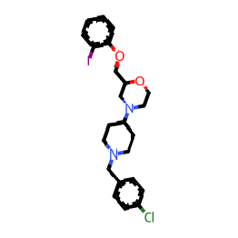 Clc1ccc(CN2CCC(N3CCOC(COc4ccccc4I)C3)CC2)cc1